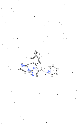 Cc1ccc(-n2c(CCN3CCCCC3)cnc2-n2ccnc2)cc1